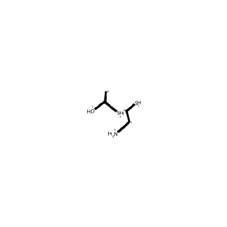 CC(O)S.NCCS